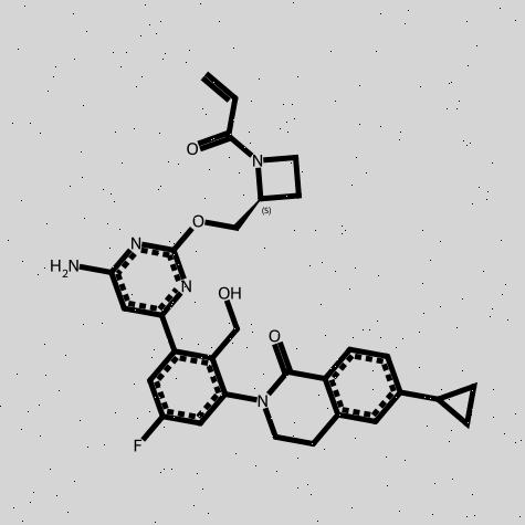 C=CC(=O)N1CC[C@H]1COc1nc(N)cc(-c2cc(F)cc(N3CCc4cc(C5CC5)ccc4C3=O)c2CO)n1